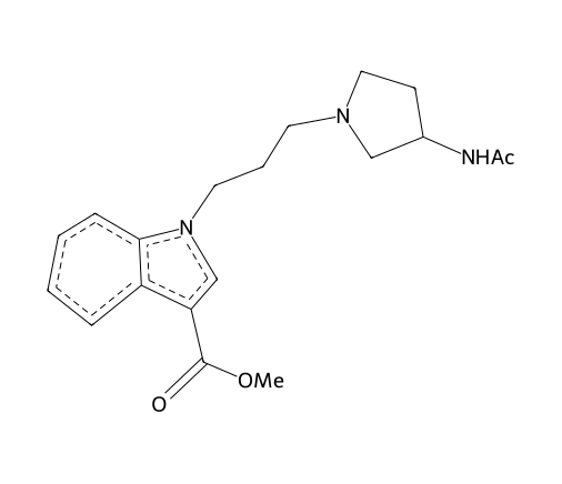 COC(=O)c1cn(CCCN2CCC(NC(C)=O)C2)c2ccccc12